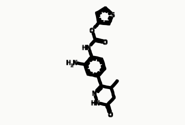 CC1CC(=O)NN=C1c1ccc(NC(=O)Oc2ccsc2)c(N)c1